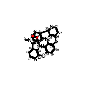 Cn1c2[n+](c3ccccc31)[N+]13c4c(cccc4-2)Oc2ccc4c(c21)-n1c2c(ccnc2c2ccc[n+]3c21)S4